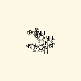 Cc1ccc(Nc2nc(Nc3ccc(N4CCN(C)CC4)cc3)ncc2C)cc1NS(=O)(=O)C(C)(C)C